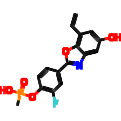 C=Cc1cc(O)cc2nc(-c3ccc(OP(C)(=O)O)c(F)c3)oc12